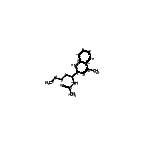 CSCC[C@H](NC(C)=O)c1cc(C)c2ccccc2n1